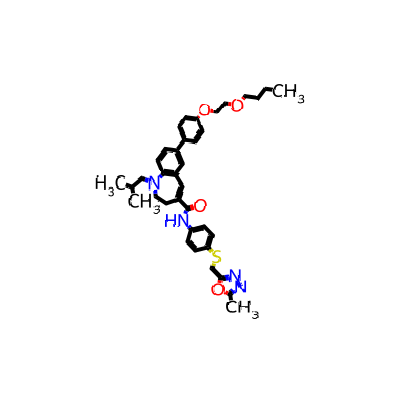 CCCCOCCOc1ccc(-c2ccc3c(c2)C=C(C(=O)Nc2ccc(SCc4nnc(C)o4)cc2)CCN3CC(C)C)cc1